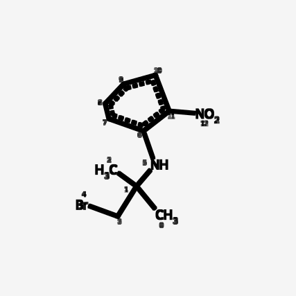 CC(C)(CBr)Nc1ccccc1[N+](=O)[O-]